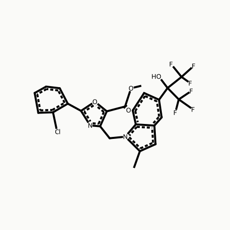 COC(=O)c1oc(-c2ccccc2Cl)nc1Cn1c(C)cc2cc(C(O)(C(F)(F)F)C(F)(F)F)ccc21